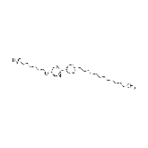 CCCCCCCCCCCCCc1ccc(-c2ncc(OCCCCCCC)cn2)cc1